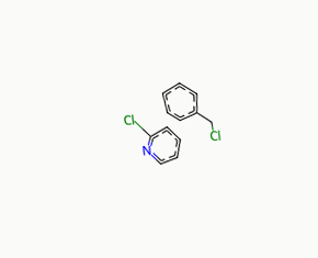 ClCc1ccccc1.Clc1ccccn1